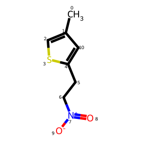 Cc1csc(CC[N+](=O)[O-])c1